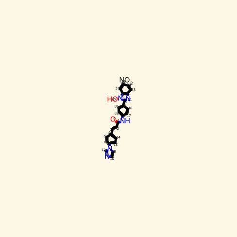 O=C(C=Cc1ccc(-n2ccnc2)cc1)Nc1ccc(-c2nc3ccc([N+](=O)[O-])cc3n2O)cc1